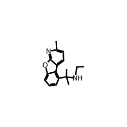 CCNC(C)(C)c1cccc2oc3nc(C)ccc3c12